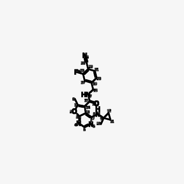 Cc1oc2ncnc(NC3(C)CC3)c2c1C(=O)NCc1ccc(C#N)c(F)c1